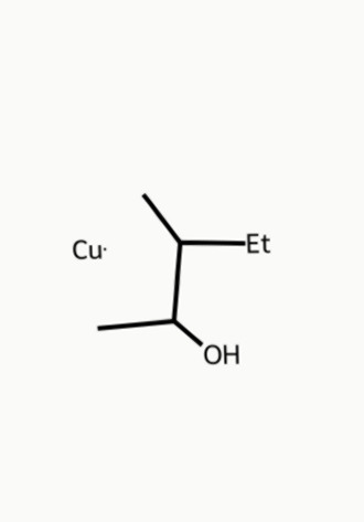 CCC(C)C(C)O.[Cu]